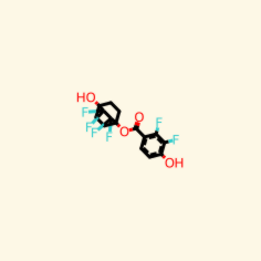 O=C(OC12CCC(O)(CC1)C(F)(F)C2(F)F)c1ccc(O)c(F)c1F